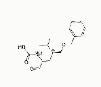 CC(C)[C@@H](COCc1ccccc1)CC(C=O)NC(=O)O